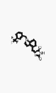 O=C1NC(=O)C(=Cc2cccc3c2ccn3Cc2cccc(C(F)(F)F)c2)S1